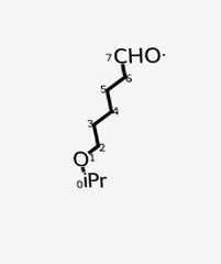 CC(C)OCCCCC[C]=O